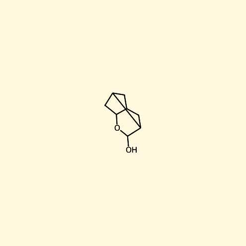 OC1OC2CC3CC2CC31